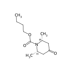 CCCCOC(=O)N1[C@H](C)CC(=O)C[C@@H]1C